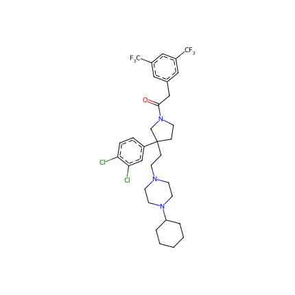 O=C(Cc1cc(C(F)(F)F)cc(C(F)(F)F)c1)N1CCC(CCN2CCN(C3CCCCC3)CC2)(c2ccc(Cl)c(Cl)c2)C1